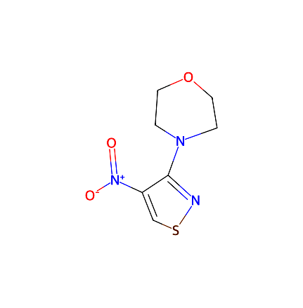 O=[N+]([O-])c1csnc1N1CCOCC1